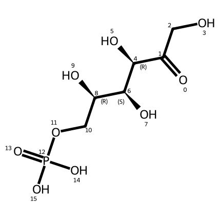 O=C(CO)[C@H](O)[C@@H](O)[C@H](O)COP(=O)(O)O